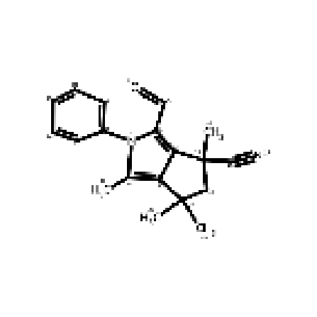 Cc1c2c(c(C=O)n1-c1ccccc1)C(C)(C#N)CC2(C)C